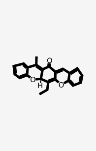 CCC1=C2Oc3ccccc3C=C2C(=O)C2=C(C)c3ccccc3O[C@H]12